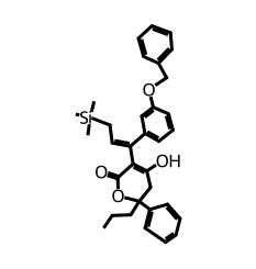 CCCC1(c2ccccc2)CC(O)=C(/C(=C/C[Si](C)(C)C)c2cccc(OCc3ccccc3)c2)C(=O)O1